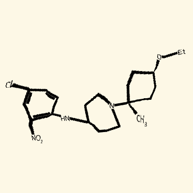 CCO[C@H]1CC[C@](C)(N2CCC(Nc3ccc(Cl)cc3[N+](=O)[O-])CC2)CC1